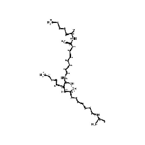 CC(O)NCCCCCCCC(O)NC(CCCCN)C(O)NCCCCCCCC(=O)NC(C)CCCCN